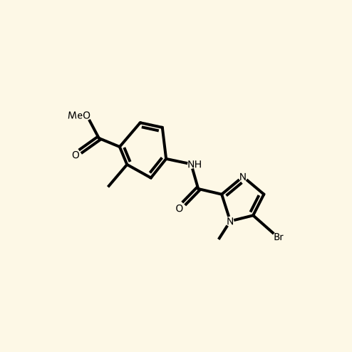 COC(=O)c1ccc(NC(=O)c2ncc(Br)n2C)cc1C